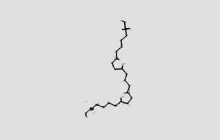 CC(C)(CO)CCCCC1CCC(CCCC2CCC(CCCCC(C)(C)CO)O2)O1